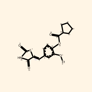 CCOc1cc(/C=C2\SC(=O)NC2=O)ccc1OC(=O)C1CCCC1